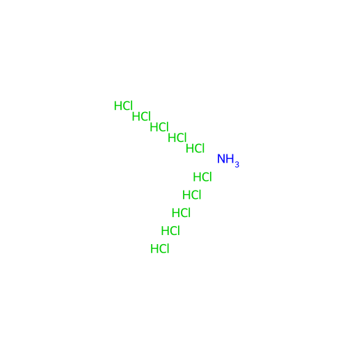 Cl.Cl.Cl.Cl.Cl.Cl.Cl.Cl.Cl.Cl.N